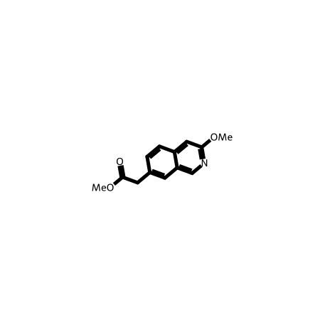 COC(=O)Cc1ccc2cc(OC)ncc2c1